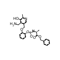 Cc1ncc(COc2ccccc2O[P+]([O-])=N[C@@H](C)C(=O)OCc2ccccc2)c(CN)c1O